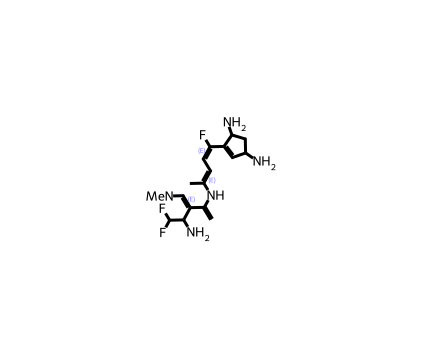 C=C(N/C(C)=C/C=C(/F)C1=CC(N)CC1N)/C(=C/NC)C(N)C(F)F